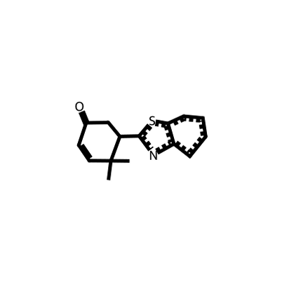 CC1(C)C=CC(=O)CC1c1nc2ccccc2s1